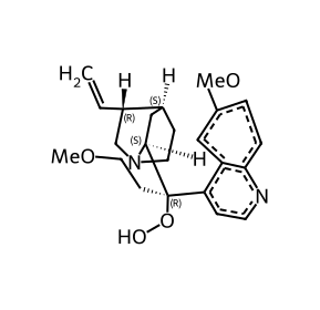 C=C[C@H]1CN2CC[C@H]1C[C@H]2[C@](CCOC)(OO)c1ccnc2ccc(OC)cc12